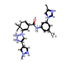 Cc1cn(-c2cc(NC(=O)C3=CCC(C)(C)C(N4C=C(c5cnn(C)c5)NN4)=C3)cc(C(F)(F)F)c2)cn1